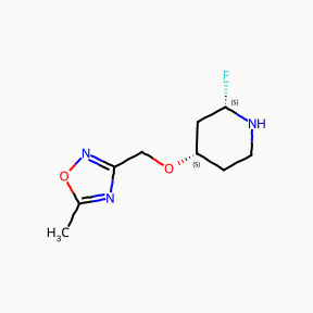 Cc1nc(CO[C@H]2CCN[C@@H](F)C2)no1